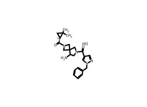 CC1(C)C[C@@H]1C(=O)N1CC2(CN(C(=O)c3cnn(Cc4ccccc4)c3)CC2N)C1.Cl